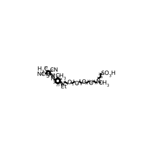 CCN(CCOCCOCCOCCOCCN(C)CCCS(=O)(=O)O)c1ccc(/N=N/c2sc(C#N)c(C)c2C#N)c(C)c1